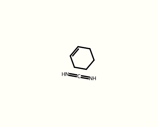 C1=CCCCC1.N=C=N